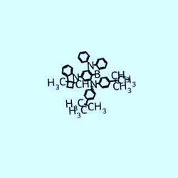 CC(C)(C)c1ccc(N2c3ccc(C(C)(C)C)cc3B3c4ccccc4N(c4ccccc4)c4cc(N5c6ccccc6C6(C)CCC56C)cc2c43)cc1